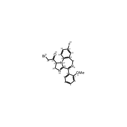 COc1ccccc1C1=NCc2cc(F)ccc2N2C1=NCC2C(=O)CBr